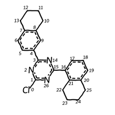 Clc1nc(-c2ccc3c(c2)CCCC3)nc(-c2cccc3c2CCCC3)n1